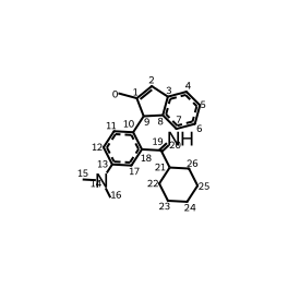 CC1=Cc2ccccc2C1c1ccc(N(C)C)cc1C(=N)C1CCCCC1